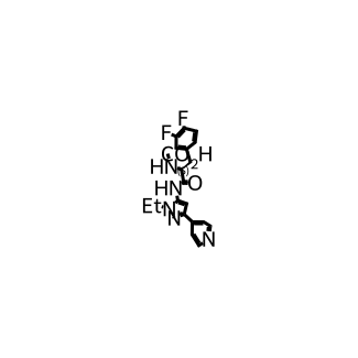 CCn1nc(-c2ccncc2)cc1NC(=O)[C@H](Cc1ccc(F)c(F)c1)NC(=O)O